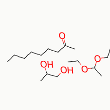 CC(O)CO.CCCCCCCC(C)=O.CCOC(C)OCC